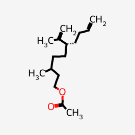 C=CCC[C@H](CCC(C)CCOC(C)=O)C(=C)C